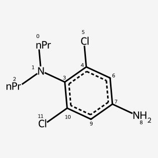 CCCN(CCC)c1c(Cl)cc(N)cc1Cl